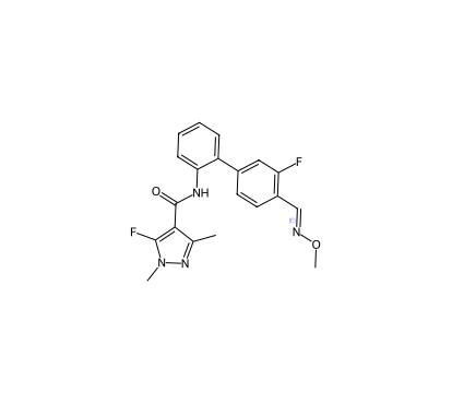 CO/N=C/c1ccc(-c2ccccc2NC(=O)c2c(C)nn(C)c2F)cc1F